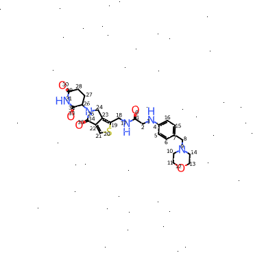 O=C(CNc1ccc(CN2CCOCC2)cc1)NCc1scc2c1CN(C1CCC(=O)NC1=O)C2=O